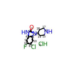 Cl.O=c1[nH]c2cc(F)c(Cl)cc2n1C1CCNCC1